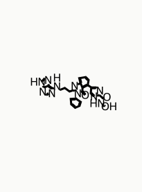 O=C(NO)c1ncc(-c2cccc3nc(CCCNc4ncnc5[nH]cnc45)n(-c4ccccc4)c(=O)c23)cn1